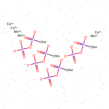 COP(=O)([O-])OP(=O)([O-])[O-].COP(=O)([O-])OP(=O)([O-])[O-].COP(=O)([O-])OP(=O)([O-])[O-].COP(=O)([O-])OP(=O)([O-])[O-].[Co+2].[Co+2].[Co+2].[Mn+2].[Mn+2].[Mn+2]